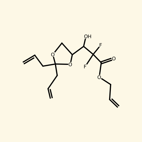 C=CCOC(=O)C(F)(F)C(O)C1COC(CC=C)(CC=C)O1